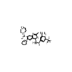 Cc1nc(NC(C)c2cc(N)cc(C(F)(F)F)c2)c2cc(N3CCCC3)c(C(=O)N3CCOCC3)cc2n1